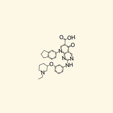 CCN1CCCC(Oc2cccc(Nc3ncc4c(=O)c(C(=O)O)cn(-c5ccc6c(c5)CCC6)c4n3)c2)C1